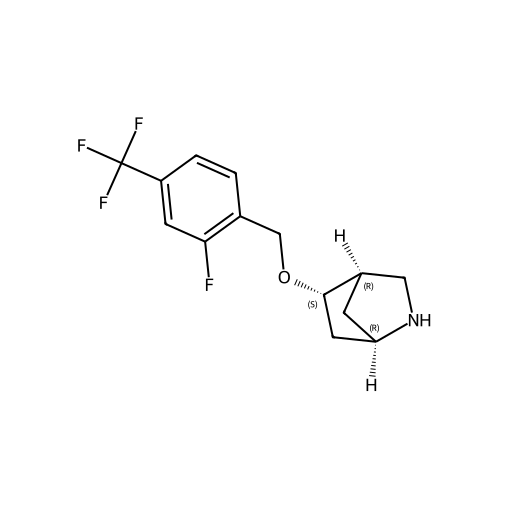 Fc1cc(C(F)(F)F)ccc1CO[C@H]1C[C@H]2C[C@@H]1CN2